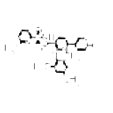 Cc1cc(C)c(Oc2nc(-c3ccc(C)nc3)ccc2C(=O)NS(=O)(=O)c2cccc(C)n2)c(C)c1